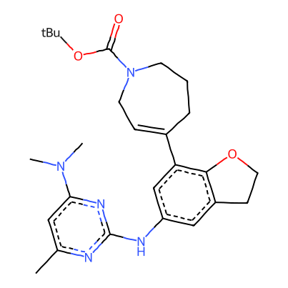 Cc1cc(N(C)C)nc(Nc2cc3c(c(C4=CCN(C(=O)OC(C)(C)C)CCC4)c2)OCC3)n1